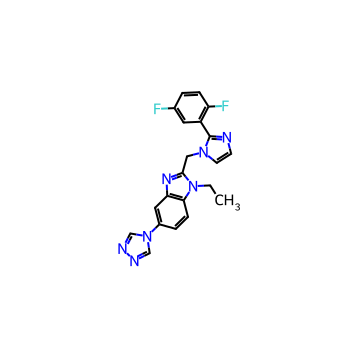 CCn1c(Cn2ccnc2-c2cc(F)ccc2F)nc2cc(-n3cnnc3)ccc21